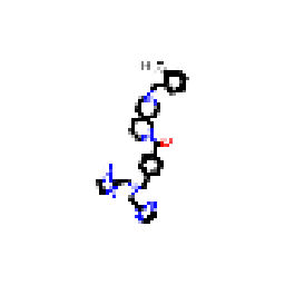 Cc1ccccc1CN1CCC2(CCCN(C(=O)c3ccc(CN(Cc4ncc[nH]4)Cc4ncc[nH]4)cc3)C2)CC1